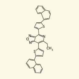 CCc1nc(-c2ccc(-c3cccc4ccccc34)s2)c2nonc2c1-c1ccc(-c2cccc3ccccc23)s1